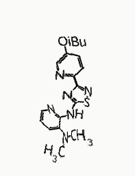 CC(C)COc1ccc(-c2nsc(Nc3ncccc3N(C)C)n2)nc1